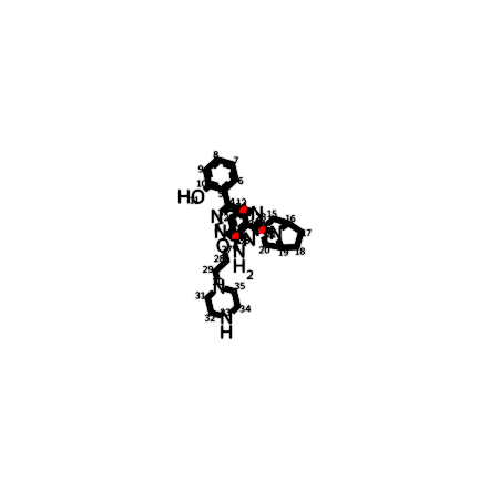 Nc1nnc(-c2ccccc2O)cc1N1CC2CCC(C1)N2c1nccc(OCCN2CCNCC2)n1